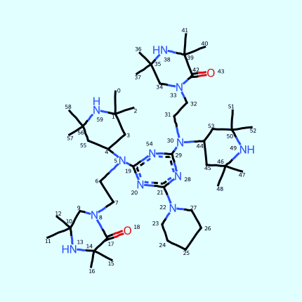 CC1(C)CC(N(CCN2CC(C)(C)NC(C)(C)C2=O)c2nc(N3CCCCC3)nc(N(CCN3CC(C)(C)NC(C)(C)C3=O)C3CC(C)(C)NC(C)(C)C3)n2)CC(C)(C)N1